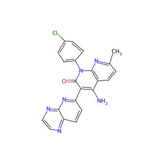 Cc1ccc2c(N)c(-c3ccc4nccnc4n3)c(=O)n(-c3ccc(Cl)cc3)c2n1